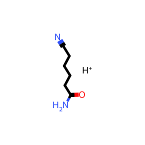 N#CCCCCC(N)=O.[H+]